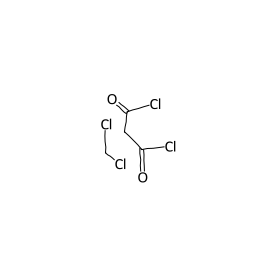 ClCCl.O=C(Cl)CC(=O)Cl